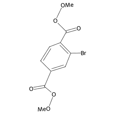 COOC(=O)c1ccc(C(=O)OOC)c(Br)c1